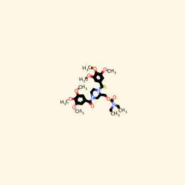 CCN(CC)C(=O)OCC1CN(C(=O)c2cc(OC)c(OC)c(OC)c2)CCN1C(=S)c1cc(OC)c(OC)c(OC)c1